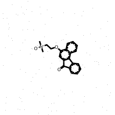 C[N+](C)([O-])CCOc1cc2c(c3ccccc13)-c1ccccc1C2=O